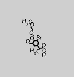 COCCOCOc1c(Br)cc(C(C)C(=O)O)cc1C=O